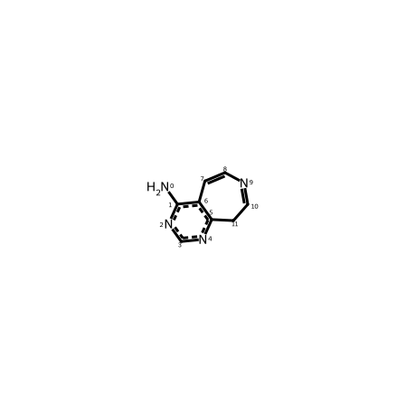 Nc1ncnc2c1C=CN=CC2